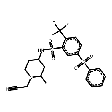 N#CCN1CCC(NS(=O)(=O)c2cc(S(=O)(=O)c3ccccc3)ccc2C(F)(F)F)CC1I